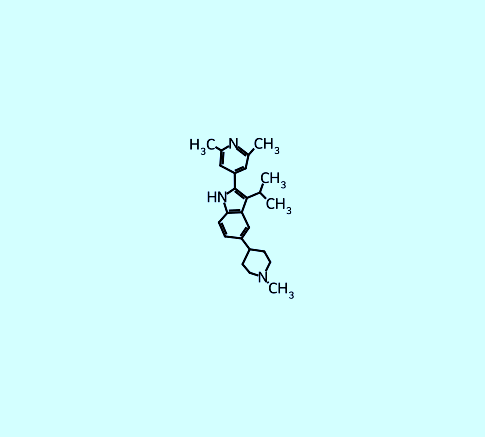 Cc1cc(-c2[nH]c3ccc(C4CCN(C)CC4)cc3c2C(C)C)cc(C)n1